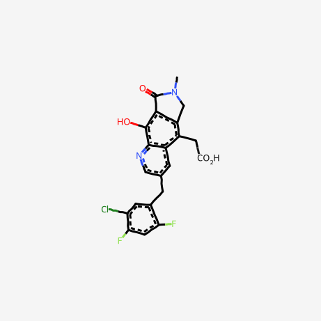 CN1Cc2c(c(O)c3ncc(Cc4cc(Cl)c(F)cc4F)cc3c2CC(=O)O)C1=O